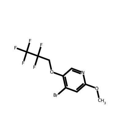 COc1cc(Br)c(OCC(F)(F)C(F)(F)F)cn1